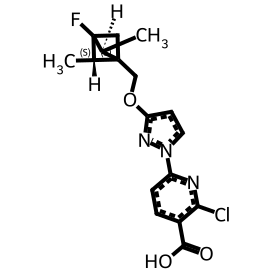 C[C@@H]1C2(F)CC1(COc1ccn(-c3ccc(C(=O)O)c(Cl)n3)n1)[C@@H]2C